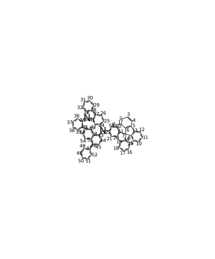 CC1CC=CC2=C1C1(c3ccccc32)c2ccccc2-c2cc(N(c3ccc4c5ccccc5n(-c5ccccc5)c4c3)c3ccc(-c4ccccc4)c4ccccc34)ccc21